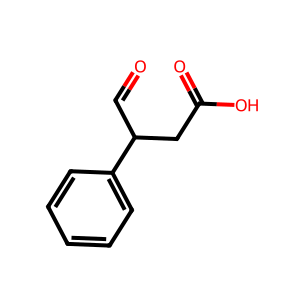 O=CC(CC(=O)O)c1ccccc1